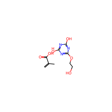 C=C(C)C(=O)O.OCCOc1nc(O)nc(O)n1